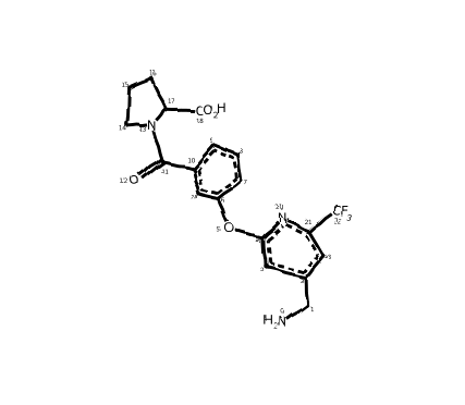 NCc1cc(Oc2cccc(C(=O)N3CCCC3C(=O)O)c2)nc(C(F)(F)F)c1